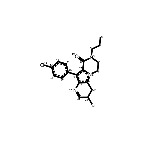 CCCN1CCn2c3c(c(-c4ccc(Cl)cc4)c2C1=O)N=CC(C)C3